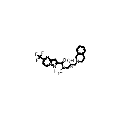 CN(C[C@H](O)CN1CCc2ccccc2C1)C(=O)c1cc2nc(C(F)(F)F)ccn2n1